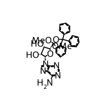 COC(OC)(OC(c1ccccc1)(c1ccccc1)c1ccccc1)[C@H]1O[C@@H](n2cnc3c(N)ncnc32)[C@H](O)[C@@H]1O